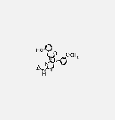 COc1cccc(-n2c(=O)n(Cc3ccccc3O)c3nc(NC4CC4)ncc32)c1